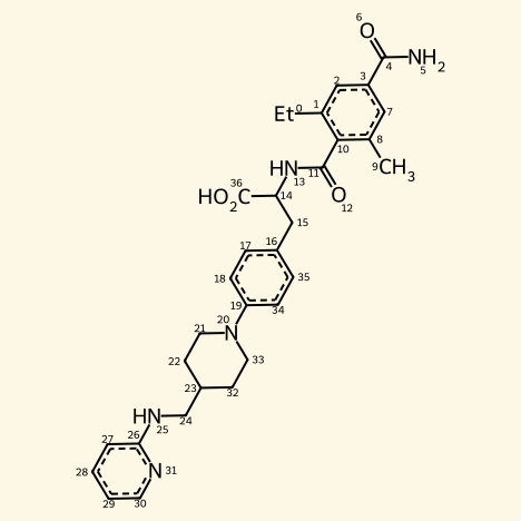 CCc1cc(C(N)=O)cc(C)c1C(=O)NC(Cc1ccc(N2CCC(CNc3ccccn3)CC2)cc1)C(=O)O